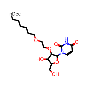 CCCCCCCCCCCCCCCCOCCOC1C(O)C(CO)OC1n1ccc(=O)[nH]c1=O